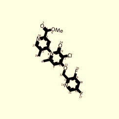 COC(=O)c1cc(-n2c(C)cc(OCc3ncc(F)cc3F)c(Cl)c2=O)c(C)cn1